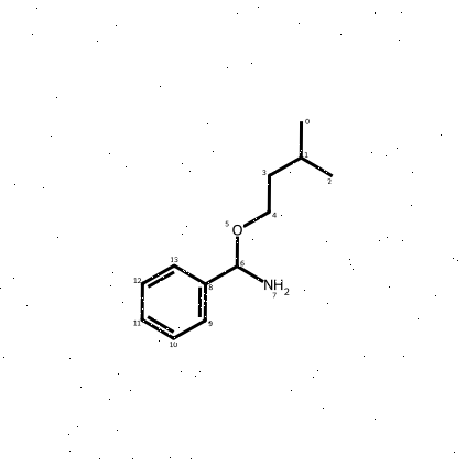 CC(C)CCOC(N)c1ccccc1